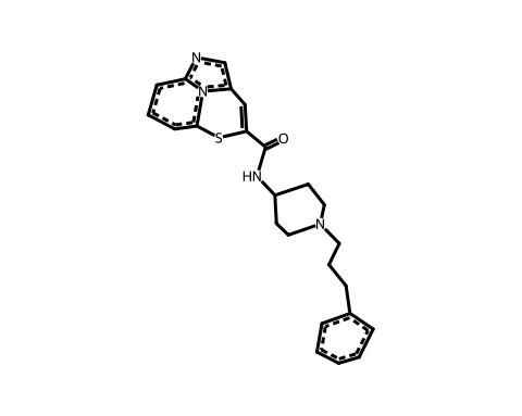 O=C(NC1CCN(CCCc2ccccc2)CC1)C1=Cc2cnc3cccc(n23)S1